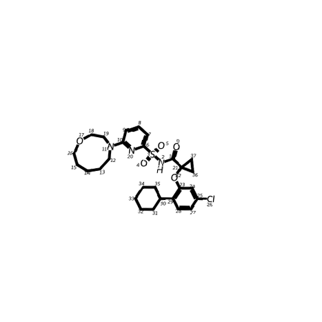 O=C(NS(=O)(=O)c1cccc(N2CCCCCOCC2)n1)C1(Oc2cc(Cl)ccc2C2CCCCC2)CC1